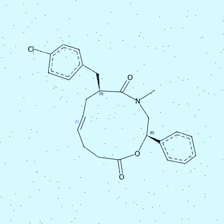 CN1C[C@@H](c2ccccc2)OC(=O)CC/C=C/C[C@@H](Cc2ccc(Cl)cc2)C1=O